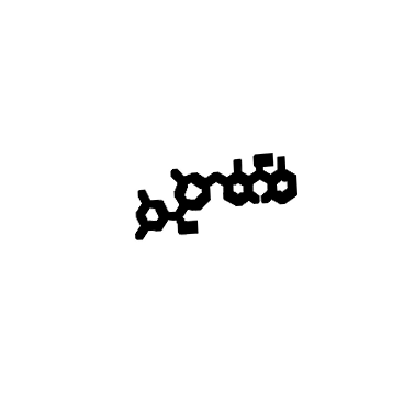 CC1=CC([C@@H](O)C2=CC(C)CC(C)=C2)=C=CC(Cc2ccc(C)c(C(O)c3c(C)cccc3C)c2C)=C1